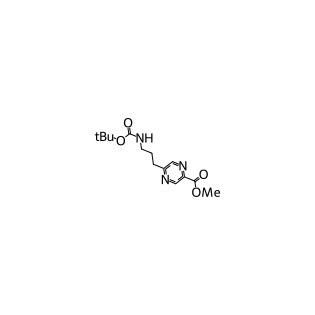 COC(=O)c1cnc(CCCNC(=O)OC(C)(C)C)cn1